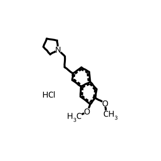 COc1cc2ccc(CCN3CCCC3)cc2cc1OC.Cl